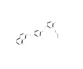 COc1cc(N=Nc2ccc3cccc(S(=O)(=O)O)c3c2)c(C)cc1N=Nc1cc(OCCCS(=O)(=O)O)c(N)cc1C